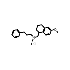 COc1ccc2c(c1)CCCC2CN(C)CCCc1ccccc1.Cl